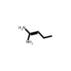 CCC=C(N)N